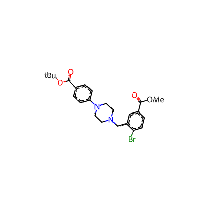 COC(=O)c1ccc(Br)c(CN2CCN(c3ccc(C(=O)OC(C)(C)C)cc3)CC2)c1